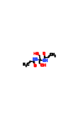 C=CC(=O)NC(CO)(CO)NC(=O)C=C